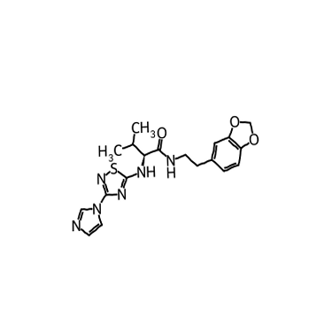 CC(C)[C@H](Nc1nc(-n2ccnc2)ns1)C(=O)NCCc1ccc2c(c1)OCO2